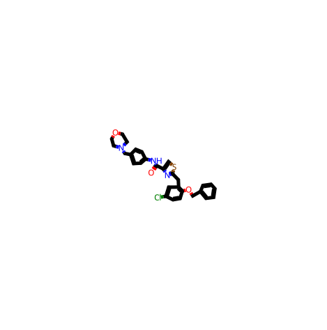 O=C(Nc1ccc(CN2CCOCC2)cc1)c1csc(Cc2cc(Cl)ccc2OCc2ccccc2)n1